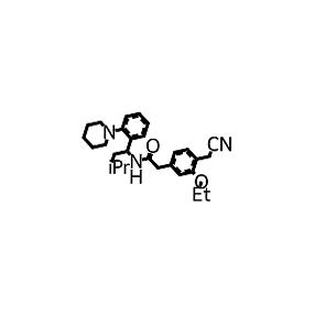 CCOc1cc(CC(=O)NC(CC(C)C)c2ccccc2N2CCCCC2)ccc1CC#N